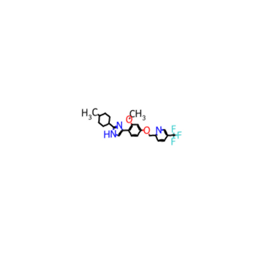 COc1cc(OCc2ccc(C(F)(F)F)cn2)ccc1-c1c[nH]c(C2CCC(C)CC2)n1